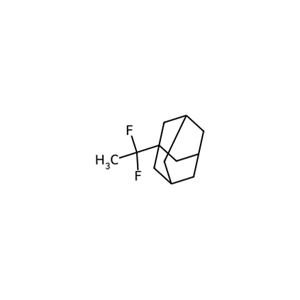 CC(F)(F)C12CC3CC(CC(C3)C1)C2